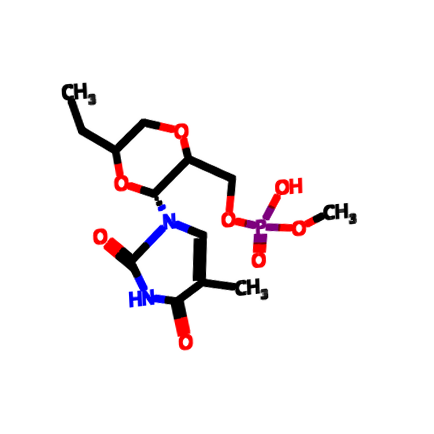 CCC1COC(COP(=O)(O)OC)[C@H](n2cc(C)c(=O)[nH]c2=O)O1